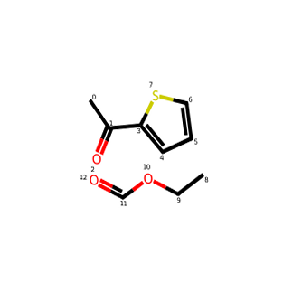 CC(=O)c1cccs1.CCOC=O